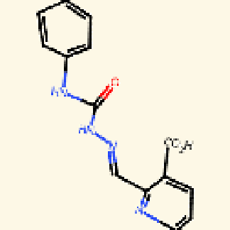 O=C(NN=Cc1ncccc1C(=O)O)Nc1ccccc1